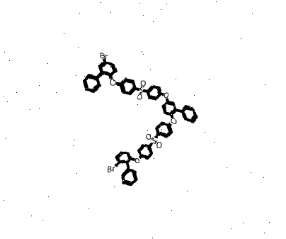 O=S(=O)(c1ccc(Oc2ccc(Oc3ccc(S(=O)(=O)c4ccc(Oc5cccc(Br)c5-c5ccccc5)cc4)cc3)c(-c3ccccc3)c2)cc1)c1ccc(Oc2ccc(Br)cc2-c2ccccc2)cc1